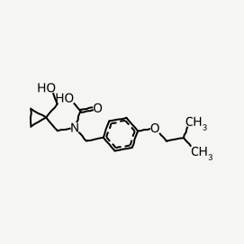 CC(C)COc1ccc(CN(CC2(CO)CC2)C(=O)O)cc1